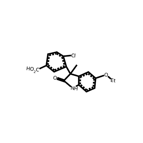 CCOc1ccc2c(c1)C(C)(c1cc(C(=O)O)ccc1Cl)C(=O)N2